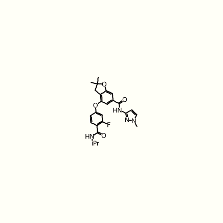 CC(C)NC(=O)c1ccc(Oc2cc(C(=O)Nc3ccn(C)n3)cc3c2CC(C)(C)O3)cc1F